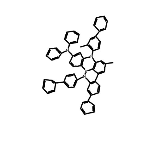 Cc1cc2c3c(c1)N(c1ccc(-c4ccccc4)cc1C)c1cc(N(c4ccccc4)c4ccccc4)ccc1B3N(c1ccc(-c3ccccc3)cc1)c1cc(-c3ccccc3)ccc1-2